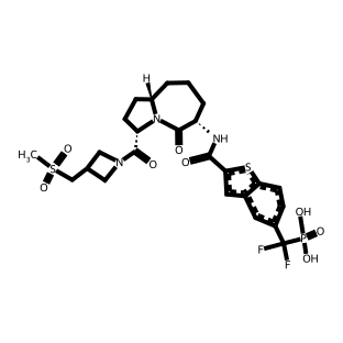 CS(=O)(=O)CC1CN(C(=O)[C@@H]2CC[C@@H]3CCC[C@H](NC(=O)c4cc5cc(C(F)(F)P(=O)(O)O)ccc5s4)C(=O)N32)C1